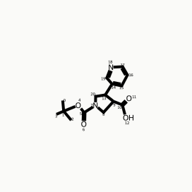 CC(C)(C)OC(=O)N1CC(C(=O)O)C(c2cccnc2)C1